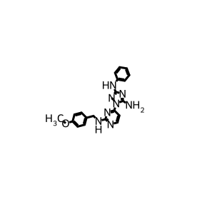 COc1ccc(CNc2nccc(-n3nc(Nc4ccccc4)nc3N)n2)cc1